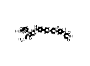 C=CCn1c(=O)c2cnc(Nc3ccc(C4CCN(C5CCN(c6ccc(NC7CCC(=O)NC7=O)cc6F)CC5)CC4)cc3)nc2n1-c1cccc(C(C)(C)O)n1